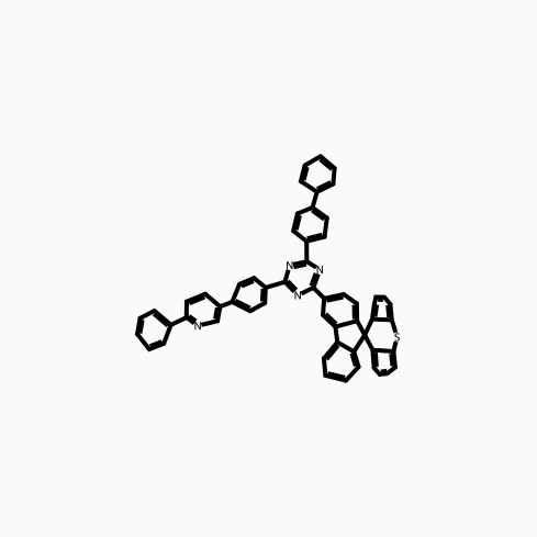 c1ccc(-c2ccc(-c3nc(-c4ccc(-c5ccc(-c6ccccc6)nc5)cc4)nc(-c4ccc5c(c4)-c4ccccc4C54c5ccccc5Sc5ccccc54)n3)cc2)cc1